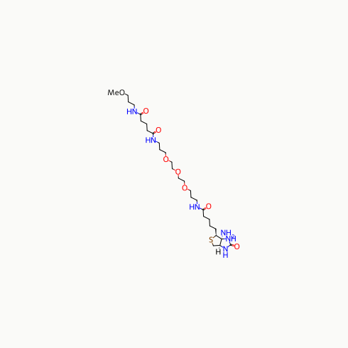 COCCCNC(=O)CCCC(=O)NCCCOCCOCCOCCCNC(=O)CCCC[C@@H]1SC[C@@H]2NC(=O)N[C@@]21N